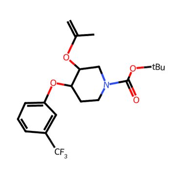 C=C(C)OC1CN(C(=O)OC(C)(C)C)CCC1Oc1cccc(C(F)(F)F)c1